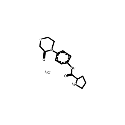 Cl.O=C(Nc1ccc(N2CCOCC2=O)cc1)C1CCCN1